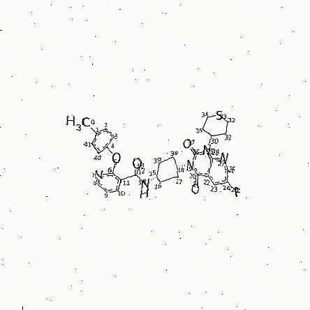 Cc1ccc(Oc2ncccc2C(=O)N[C@H]2CC[C@@H](n3c(=O)c4cc(F)cnc4n(C4CCSCC4)c3=O)CC2)cc1